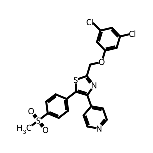 CS(=O)(=O)c1ccc(-c2sc(COc3cc(Cl)cc(Cl)c3)nc2-c2ccncc2)cc1